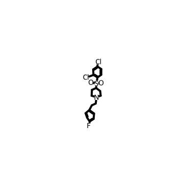 O=S(=O)(c1ccc(Cl)cc1Cl)C1CCN(CCc2ccc(F)cc2)CC1